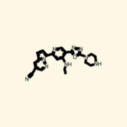 CCNc1cc(-c2ccc3cc(C#N)cnn23)ncc1-c1nnc(N2CCNCC2)o1